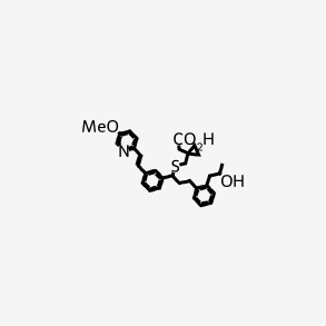 COc1ccc(C=Cc2cccc(C(CCc3ccccc3CC(C)O)SCC3(CC(=O)O)CC3)c2)nc1